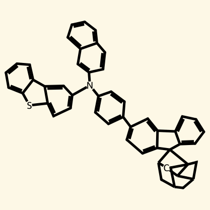 c1ccc2c(c1)-c1cc(-c3ccc(N(c4ccc5ccccc5c4)c4ccc5sc6ccccc6c5c4)cc3)ccc1C21C2CC3CC4CC1(C3)C4C2